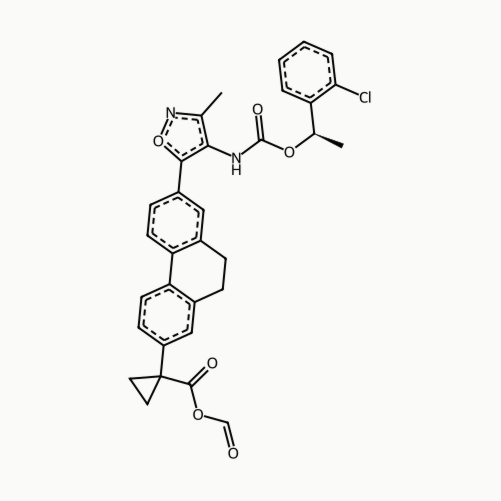 Cc1noc(-c2ccc3c(c2)CCc2cc(C4(C(=O)OC=O)CC4)ccc2-3)c1NC(=O)O[C@H](C)c1ccccc1Cl